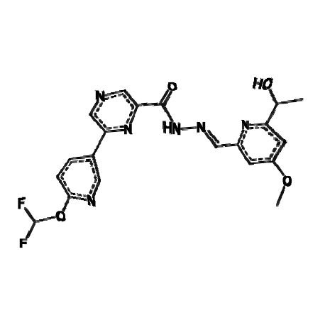 COc1cc(/C=N/NC(=O)c2cncc(-c3ccc(OC(F)F)nc3)n2)nc(C(C)O)c1